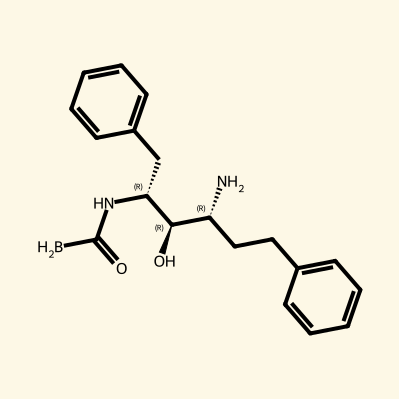 BC(=O)N[C@H](Cc1ccccc1)[C@H](O)[C@H](N)CCc1ccccc1